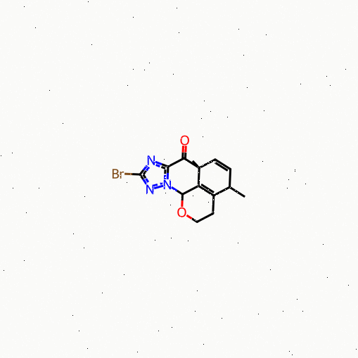 CC1C=CC2(C)C(=O)c3nc(Br)nn3C3OCCC1=C32